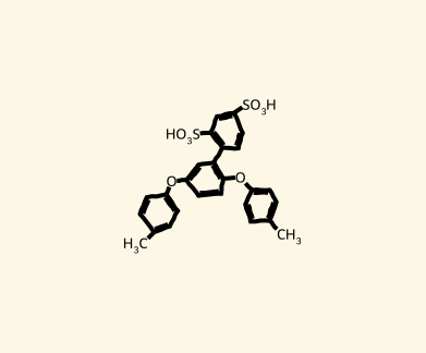 Cc1ccc(Oc2ccc(Oc3ccc(C)cc3)c(-c3ccc(S(=O)(=O)O)cc3S(=O)(=O)O)c2)cc1